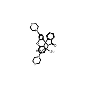 CC(C)(C)N(C(=O)O)N1C(=O)c2ccccc2C12c1ccc(N3CCOCC3)cc1Oc1cc(N3CCOCC3)ccc12